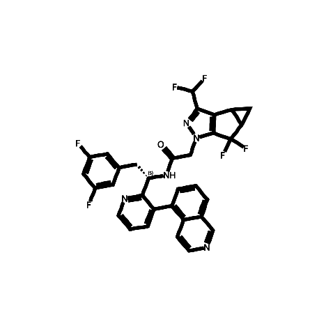 O=C(Cn1nc(C(F)F)c2c1C(F)(F)C1CC21)N[C@@H](Cc1cc(F)cc(F)c1)c1ncccc1-c1cccc2cnccc12